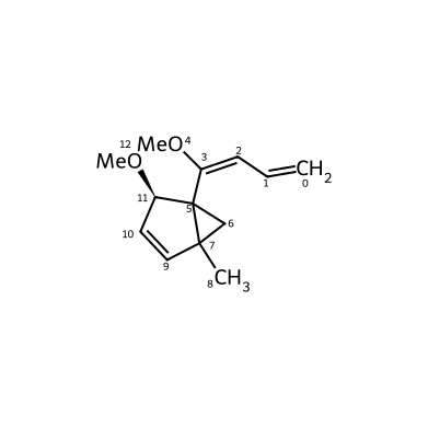 C=C/C=C(/OC)C12CC1(C)C=C[C@H]2OC